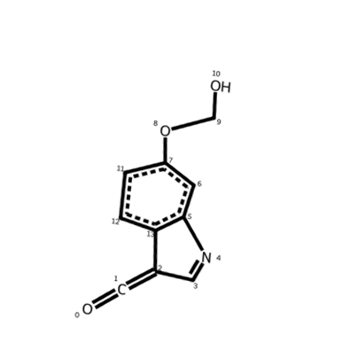 O=C=C1C=Nc2cc(OCO)ccc21